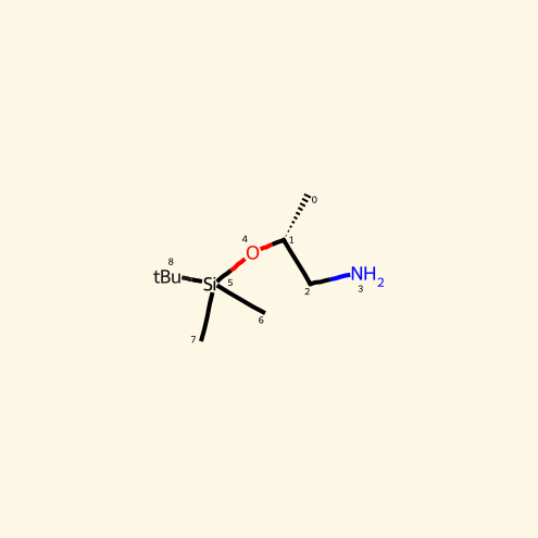 C[C@H](CN)O[Si](C)(C)C(C)(C)C